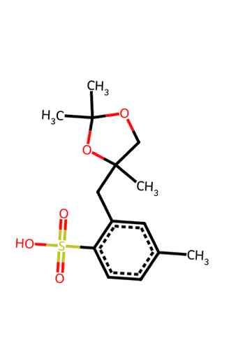 Cc1ccc(S(=O)(=O)O)c(CC2(C)COC(C)(C)O2)c1